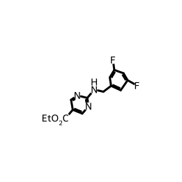 CCOC(=O)c1cnc(NCc2cc(F)cc(F)c2)nc1